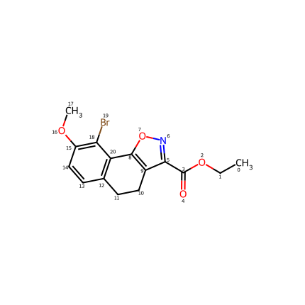 CCOC(=O)c1noc2c1CCc1ccc(OC)c(Br)c1-2